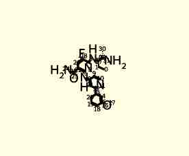 CC[C@@H](Nc1nc(Nc2ccnc(C3C=C(OC)C=CC3)c2)c(C(N)=O)cc1F)[C@H](C)N